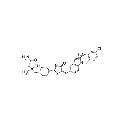 CC(C)(CC1CCN(C2=NC(=O)C(=Cc3ccc4c(cnn4Cc4ccc(Cl)cc4C(F)(F)F)c3)S2)CC1)OC(N)=O